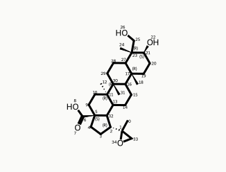 CC1([C@@H]2CC[C@]3(C(=O)O)CC[C@]4(C)C(CCC5[C@@]6(C)CC[C@H](O)[C@@](C)(CO)C6CC[C@]54C)C23)CO1